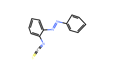 S=C=Nc1ccccc1/N=N/c1ccccc1